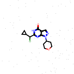 O=c1[nH]c(C(Cl)C2CC2)nc2c1cnn2C1CCOCC1